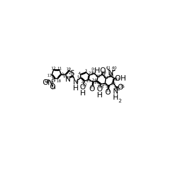 C[C@H]1c2ccc(Nc3nc(-c4cccc([N+](=O)[O-])c4)cs3)c(O)c2C(=O)C2=C(O)C3C(=O)C(C(N)=O)=C(O)[C@@H](N(C)C)C3[C@@H](O)C21